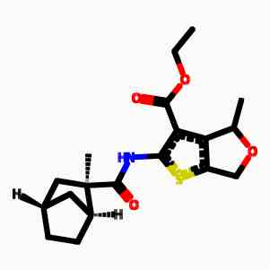 CCOC(=O)c1c(NC(=O)[C@]2(C)C[C@H]3CC[C@H]2C3)sc2c1C(C)OC2